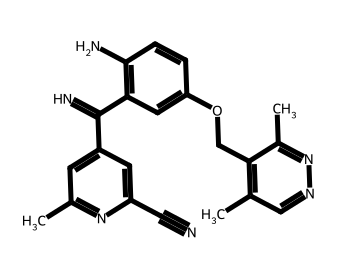 Cc1cc(C(=N)c2cc(OCc3c(C)cnnc3C)ccc2N)cc(C#N)n1